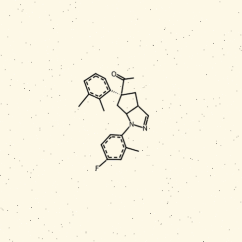 CC(=O)[C@@]1(c2cccc(C)c2C)CC2C=NN(c3ccc(F)cc3C)C2C1